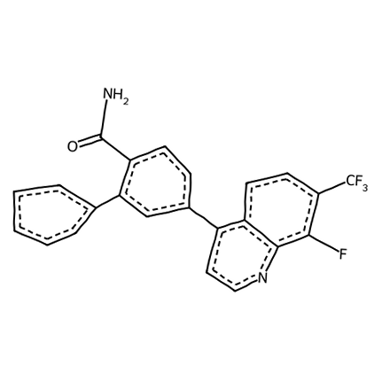 NC(=O)c1ccc(-c2ccnc3c(F)c(C(F)(F)F)ccc23)cc1-c1ccccc1